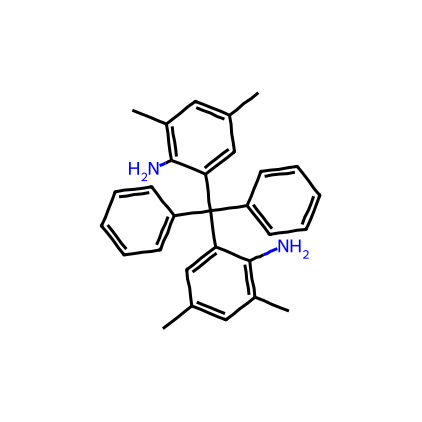 Cc1cc(C)c(N)c(C(c2ccccc2)(c2ccccc2)c2cc(C)cc(C)c2N)c1